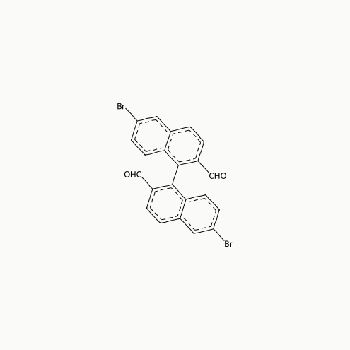 O=Cc1ccc2cc(Br)ccc2c1-c1c(C=O)ccc2cc(Br)ccc12